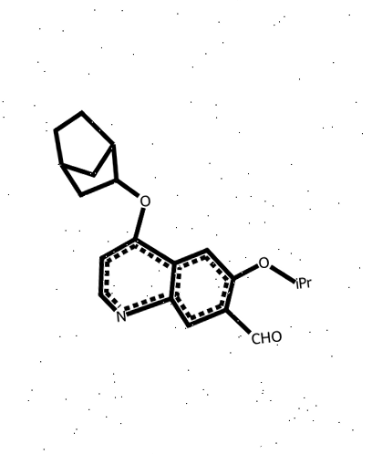 CC(C)Oc1cc2c(OC3CC4CCC3C4)ccnc2cc1C=O